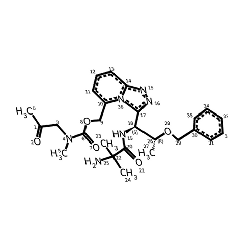 CC(=O)CN(C)C(=O)OCc1cccc2nnc([C@H](NC(=O)C(C)(C)N)[C@@H](C)OCc3ccccc3)n12